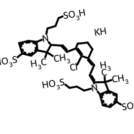 CC1(C)C(=CC=C2CCCC(C=CC3N(CCCS(=O)(=O)O)c4ccc(S(=O)(=O)O)cc4C3(C)C)=C2Cl)N(CCCS(=O)(=O)O)c2ccc(S(=O)(=O)O)cc21.[KH]